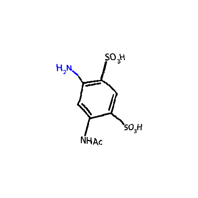 CC(=O)Nc1cc(N)c(S(=O)(=O)O)cc1S(=O)(=O)O